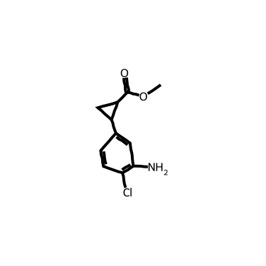 COC(=O)C1CC1c1ccc(Cl)c(N)c1